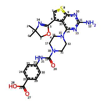 CC1(C)COC(c2csc3nc(N)nc(N4CCN(C(=O)Nc5ccc(C(=O)O)cc5)CC4)c23)=N1